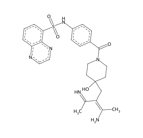 CC(=N)/C(CC1(O)CCN(C(=O)c2ccc(NS(=O)(=O)c3cccc4nccnc34)cc2)CC1)=C(/C)N